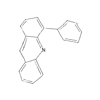 [c]1cccc(-c2cccc3cc4ccccc4nc23)c1